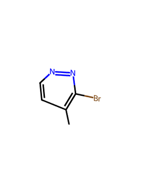 Cc1ccnnc1Br